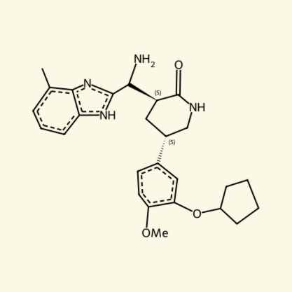 COc1ccc([C@H]2CNC(=O)[C@H](C(N)c3nc4c(C)cccc4[nH]3)C2)cc1OC1CCCC1